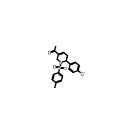 CC(=O)C1=CCC(c2ccc(Cl)cc2)N(S(=O)(=O)c2ccc(C)cc2)C1